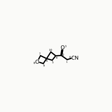 N#CCC(=O)C1CC2(COC2)C1